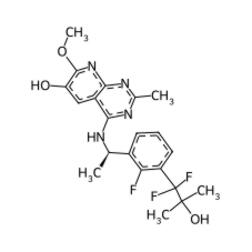 COc1nc2nc(C)nc(N[C@H](C)c3cccc(C(F)(F)C(C)(C)O)c3F)c2cc1O